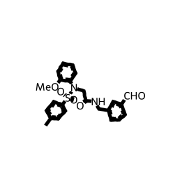 COc1ccccc1N(CC(=O)NCc1cccc(C=O)c1)S(=O)(=O)c1ccc(C)cc1